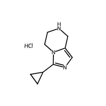 Cl.c1nc(C2CC2)n2c1CNCC2